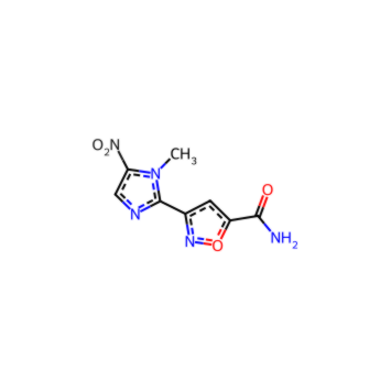 Cn1c([N+](=O)[O-])cnc1-c1cc(C(N)=O)on1